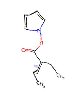 C/C=C(\CC)C(=O)On1cccc1